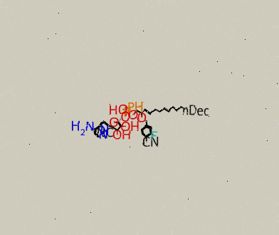 CCCCCCCCCCCCCCCCCCC[C@H](COP(O)(=P)OC[C@H]1O[C@@](C#N)(c2ccc3c(N)ccnn23)[C@H](O)[C@@H]1O)OCc1ccc(C#N)c(F)c1